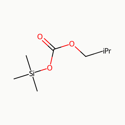 CC(C)COC(=O)O[Si](C)(C)C